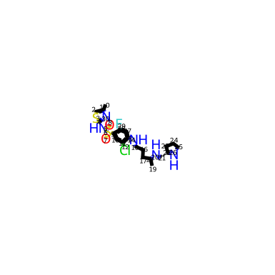 Cc1csc(NS(=O)(=O)c2cc(Cl)c(NCCCC(C)NC[C@@H]3CCCN3)cc2F)n1